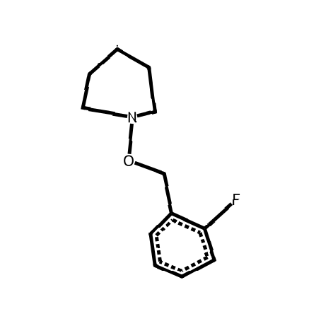 Fc1ccccc1CON1CC[CH]CC1